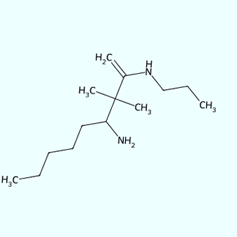 C=C(NCCC)C(C)(C)C(N)CCCCC